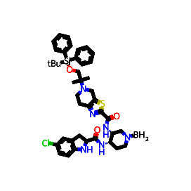 BN1CC[C@H](NC(=O)C2Cc3cc(Cl)ccc3N2)[C@H](NC(=O)c2nc3c(s2)CN(C(C)(C)CO[Si](c2ccccc2)(c2ccccc2)C(C)(C)C)CC3)C1